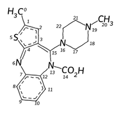 Cc1cc2c(s1)=Nc1ccccc1N(C(=O)O)C=2N1CCN(C)CC1